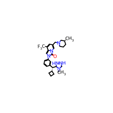 C[C@H]1CCCN(Cc2cc(C(F)(F)F)c3cn(-c4cccc([C@@H](C5CCC5)C5NNCN5C)c4)c(=O)n3c2)C1